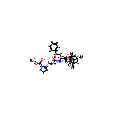 CC(C)(C)OC(=O)N1CCC[C@H]1CNC(=O)N[C@@H](CCc1ccccc1)B1O[C@@H]2C[C@@H]3C[C@@H](C3(C)C)[C@]2(C)O1